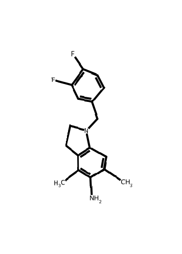 Cc1cc2c(c(C)c1N)CCN2Cc1ccc(F)c(F)c1